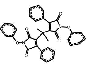 CC(C)(C1=C(c2ccccc2)C(=O)N(Oc2ccccc2)C1=O)C1=C(c2ccccc2)C(=O)N(Oc2ccccc2)C1=O